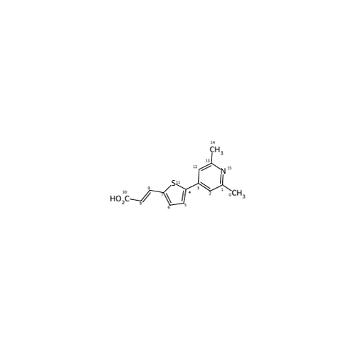 Cc1cc(-c2ccc(/C=C/C(=O)O)s2)cc(C)n1